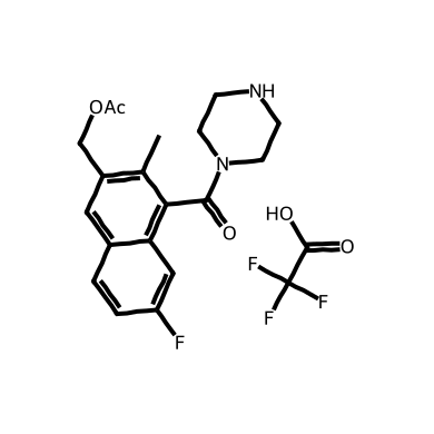 CC(=O)OCc1cc2ccc(F)cc2c(C(=O)N2CCNCC2)c1C.O=C(O)C(F)(F)F